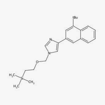 CC(C)(C)c1cc(-c2cn(COCC[Si](C)(C)C)cn2)cc2ccccc12